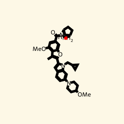 COc1cc(C(=O)N2CC3CCC2[C@@H]3N)cc2oc(-c3cc4ccc(N5CCC(OC)CC5)cc4n3CC3CC3)c(C)c12